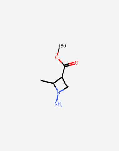 CC1C(C(=O)OC(C)(C)C)CN1N